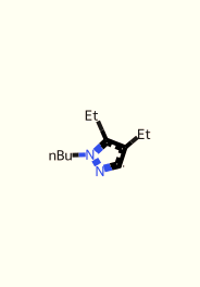 CCCCn1n[c]c(CC)c1CC